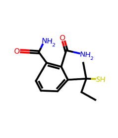 CCC(C)(S)c1cccc(C(N)=O)c1C(N)=O